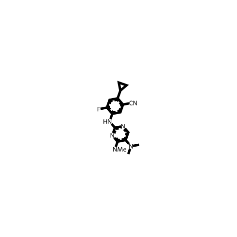 CNc1nc(Nc2cc(C#N)c(C3CC3)cc2F)ncc1N(C)C